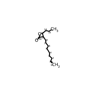 C=CCCCCCCCC1C(=O)OC1CCC